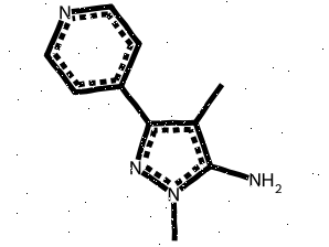 Cc1c(-c2ccncc2)nn(C)c1N